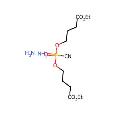 CCOC(=O)CCCOP(=O)(C#N)OCCCC(=O)OCC.N.N